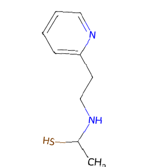 CC(S)NCCc1ccccn1